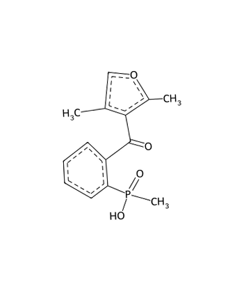 Cc1coc(C)c1C(=O)c1ccccc1P(C)(=O)O